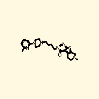 Cc1cccc(N2CCN(CCCCn3cnc4sc5c(c4c3=O)CCN(C)C5)CC2)n1